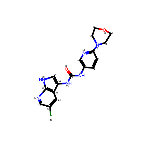 O=C(Nc1ccc(N2CCOCC2)nc1)Nc1c[nH]c2ncc(F)cc12